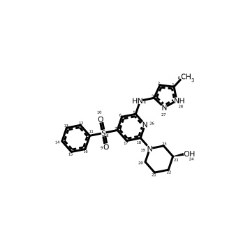 Cc1cc(Nc2cc(S(=O)(=O)c3ccccc3)cc(N3CCC[C@H](O)C3)n2)n[nH]1